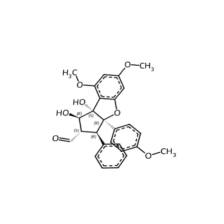 COc1ccc([C@@]23Oc4cc(OC)cc(OC)c4[C@]2(O)[C@H](O)[C@@H](C=O)[C@@H]3c2ccccc2)cc1